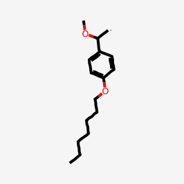 [CH2]C(OC)c1ccc(OCCCCCCC)cc1